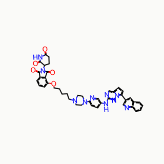 O=C1CCC(N2C(=O)c3cccc(OCCCCCN4CCN(c5ccc(Nc6ncc7ccc(-c8cnc9ccccc9c8)n7n6)cn5)CC4)c3C2=O)C(=O)N1